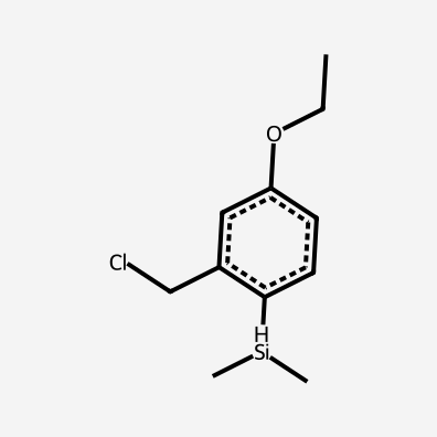 CCOc1ccc([SiH](C)C)c(CCl)c1